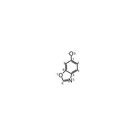 [O]c1ccc2ncoc2c1